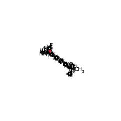 CC[C@@H]([C@H](C)OCc1ccccc1)n1ncn(-c2ccc(N3CCN(c4ccc(-c5ccc(C(F)(F)[C@](O)(Cn6cnnn6)c6ccc(F)cc6F)nc5)cc4)CC3)cc2)c1=O